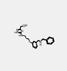 OCc1n[nH]c(NCCCOc2cccc(CNCc3ccccc3)c2)n1